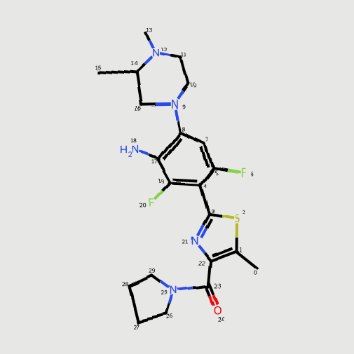 Cc1sc(-c2c(F)cc(N3CCN(C)C(C)C3)c(N)c2F)nc1C(=O)N1CCCC1